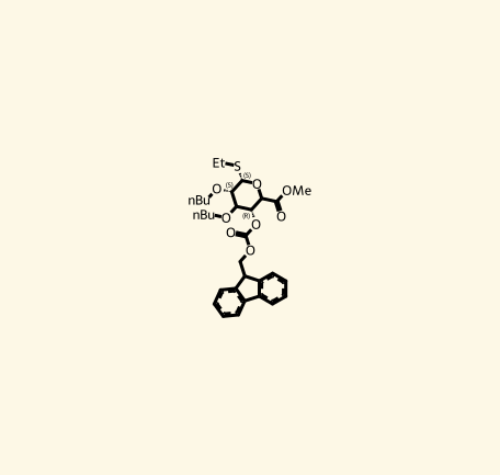 CCCCOC1[C@@H](OC(=O)OCC2c3ccccc3-c3ccccc32)C(C(=O)OC)O[C@@H](SCC)[C@H]1OCCCC